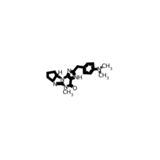 CN1C(=O)c2[nH]c(Cc3ccc(N(C)C)cc3)nc2N2C1=NC1CCC[C@@H]12